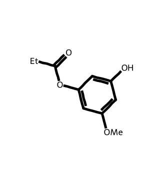 CCC(=O)Oc1cc(O)cc(OC)c1